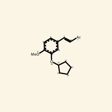 COc1ccc(C=CC(C)=O)cc1OC1CCCC1